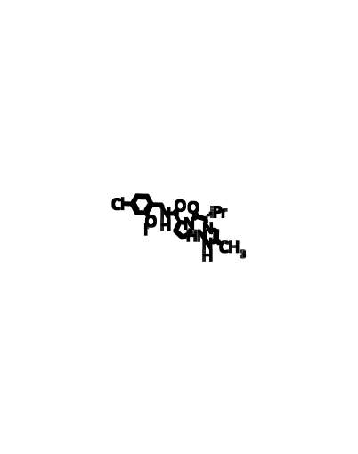 CC1=CN([C@H](C(=O)N2CCC[C@H]2C(=O)NCc2ccc(Cl)cc2OI)C(C)C)NN1